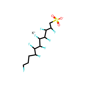 O=S(=O)([O-])CC(F)C(F)C(F)C(F)C(F)C(F)C(F)CCCF.[K+]